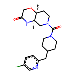 O=C1CO[C@H]2CCN(C(=O)N3CCC(Cc4ccc(F)cn4)CC3)C[C@H]2N1